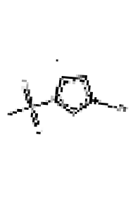 CCCn1cc[n+](S(C)(=O)=O)c1.[I-]